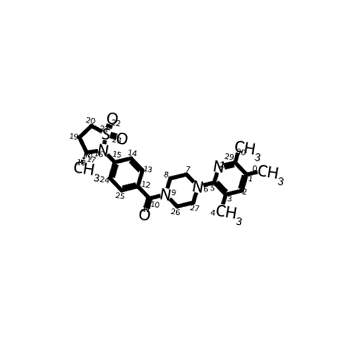 Cc1cc(C)c(N2CCN(C(=O)c3ccc(N4[C@H](C)CCS4(=O)=O)cc3)CC2)nc1C